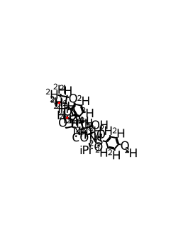 [2H]COc1c([2H])c([2H])c(S(=O)(=O)N(CC(C)C)C([2H])([2H])[C@@]([2H])(O)[C@@]([2H])(N(C(=O)O)C2CO[C@@H]3OC=C[C@@H]23)C([2H])([2H])c2c([2H])c([2H])c(OC([2H])(C([2H])([2H])[2H])C([2H])([2H])[2H])c([2H])c2[2H])c([2H])c1[2H]